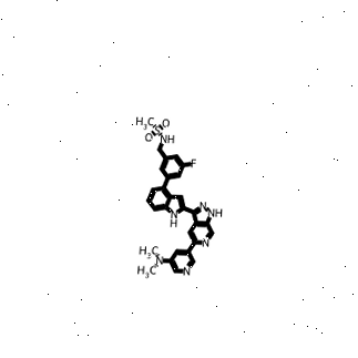 CN(C)c1cncc(-c2cc3c(-c4cc5c(-c6cc(F)cc(CNS(C)(=O)=O)c6)cccc5[nH]4)n[nH]c3cn2)c1